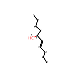 CCCC=CC(O)CCCC